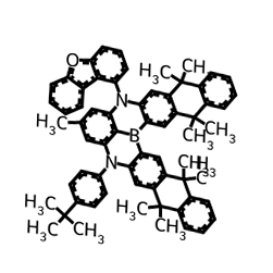 Cc1cc2c3c(c1)N(c1cccc4oc5ccccc5c14)c1cc4c(cc1B3c1cc3c(cc1N2c1ccc(C(C)(C)C)cc1)C(C)(C)c1ccccc1C3(C)C)C(C)(C)c1ccccc1C4(C)C